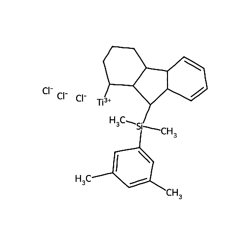 Cc1cc(C)cc([Si](C)(C)C2C3C=CC=CC3C3CCC[CH]([Ti+3])C32)c1.[Cl-].[Cl-].[Cl-]